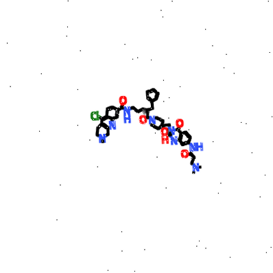 CN(C)CCC(=O)Nc1ccc2c(=O)n(CC3(O)CCN(C(=O)[C@H](CCCNC(=O)c4ccc5c(Cl)c6c(nc5c4)CN(C)CC6)Cc4ccccc4)CC3)cnc2c1